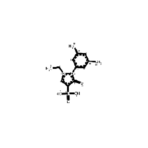 CCn1cc(P(=O)(O)O)c(=O)n1-c1cc(C)cc(C)c1